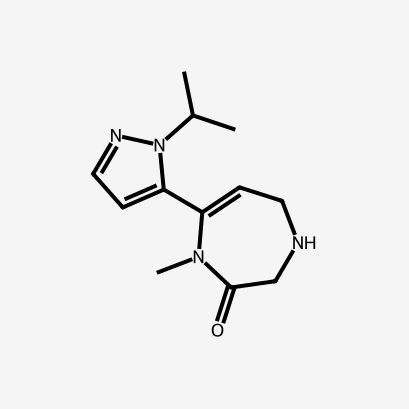 CC(C)n1nccc1C1=CCNCC(=O)N1C